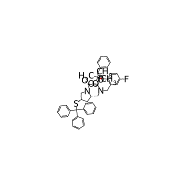 CC(C)(C)OC(=O)N1C[C@H](SC(c2ccccc2)(c2ccccc2)c2ccccc2)C[C@H]1CN(Cc1cc(F)ccc1F)C(=O)OCc1ccccc1